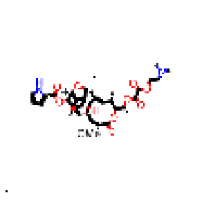 CO[C@H]1C[C@@H](/C=C\C2C3CO[C@H]2[C@H](OC(=O)c2ccc[nH]2)[C@H](C)[C@H]3O)C/C(C)=C/[C@@H](C)[C@@H]([C@@H](C)OC(=O)C(=O)OCCN(C)C)OC1=O